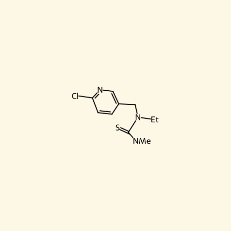 CCN(Cc1ccc(Cl)nc1)C(=S)NC